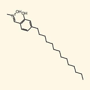 CCCCCCCCCCCCCCc1ccc(C=[N+](C)O)c(O)c1